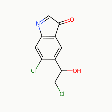 O=C1C=Nc2cc(Cl)c(C(O)CCl)cc21